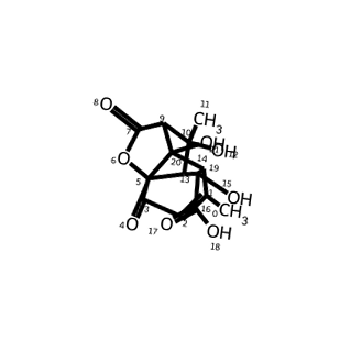 CC1=CC(=O)C23OC(=O)C4C(C)(O)C2C(O)(C(=O)O)C1C43O